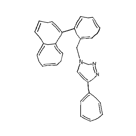 c1ccc(-c2cn(Cc3ccccc3-c3cccc4ccccc34)nn2)cc1